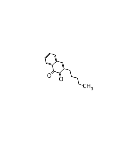 CCCCCC1=Cc2ccccc2C(=O)C1=O